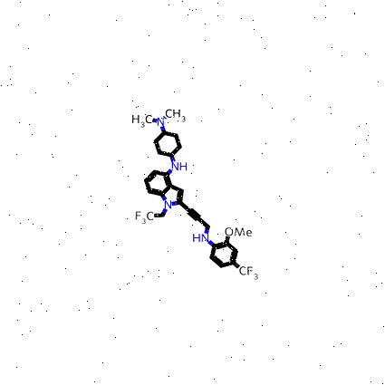 COc1cc(C(F)(F)F)ccc1NCC#Cc1cc2c(NC3CCC(N(C)C)CC3)cccc2n1CC(F)(F)F